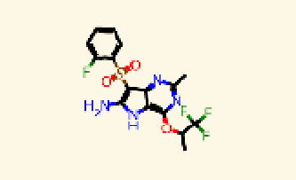 Cc1nc(OC(C)C(F)(F)F)c2[nH]c(N)c(S(=O)(=O)c3ccccc3F)c2n1